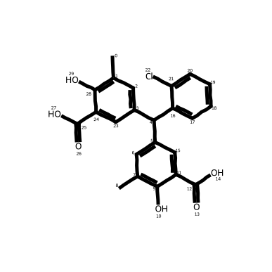 Cc1cc(C(c2cc(C)c(O)c(C(=O)O)c2)c2ccccc2Cl)cc(C(=O)O)c1O